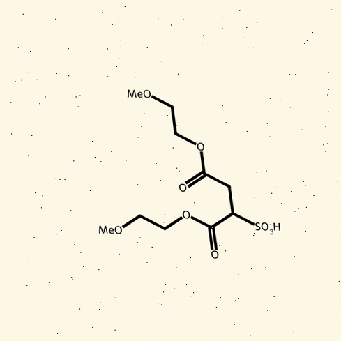 COCCOC(=O)CC(C(=O)OCCOC)S(=O)(=O)O